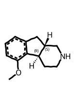 COc1cccc2c1[C@@H]1CCNC[C@H]1C2